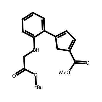 COC(=O)C1=CC=C(c2ccccc2BCC(=O)OC(C)(C)C)C1